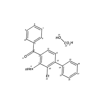 CCCCCCc1c(C(=O)c2ccccc2)ccc(-c2ccccc2)c1CC.O=C(O)O